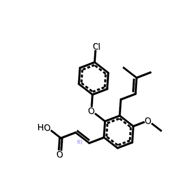 COc1ccc(/C=C/C(=O)O)c(Oc2ccc(Cl)cc2)c1CC=C(C)C